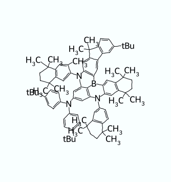 Cc1cc2c(cc1N1c3cc4c(cc3B3c5cc6c(cc5N(c5ccc7c(c5)C(C)(C)CCC7(C)C)c5cc(N(c7ccc(C(C)(C)C)cc7)c7ccc(C(C)(C)C)cc7)cc1c53)C(C)(C)CCC6(C)C)-c1cc(C(C)(C)C)ccc1C4(C)C)C(C)(C)CCC2(C)C